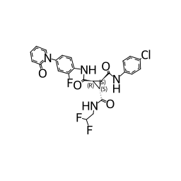 O=C(NCC(F)F)[C@H]1[C@H](C(=O)Nc2ccc(Cl)cc2)[C@@H]1C(=O)Nc1ccc(-n2ccccc2=O)cc1F